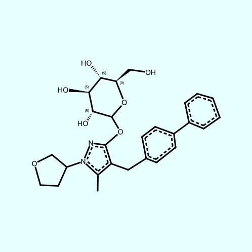 Cc1c(Cc2ccc(-c3ccccc3)cc2)c(OC2O[C@H](CO)[C@@H](O)[C@H](O)[C@H]2O)nn1C1CCOC1